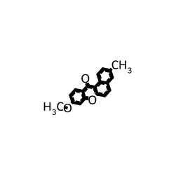 COc1ccc2c(=O)c3c(ccc4cc(C)ccc43)oc2c1